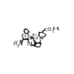 CCC(N)c1nc2cccc(N3CCC(CC(=O)O)CC3)c2c(=O)n1-c1ccccc1